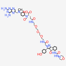 CN(Cc1cnc2nc(N)nc(N)c2n1)c1ccc(N(C=O)[C@@H](CCC(=O)NCCOCCOCCOCCNC(=O)Cn2nc3c(c2-c2ccc(O)cc2)C(=O)c2c(NC(=O)NN4CCOCC4)cccc2-3)C(=O)O)cc1